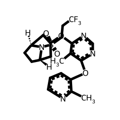 Cc1ncccc1Oc1ncnc(OC2C[C@@H]3CC[C@@H](C2)N3S(=O)(=O)CCC(F)(F)F)c1C